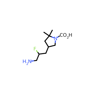 CC1(C)CC(CC(F)CN)CN1C(=O)O